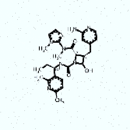 CC[C@@H](NC(=O)N1C(O)[C@H](Cc2ccnc(N)c2)[C@H]1C(=O)N(C)c1nccn1C)c1ccc(C)nc1C